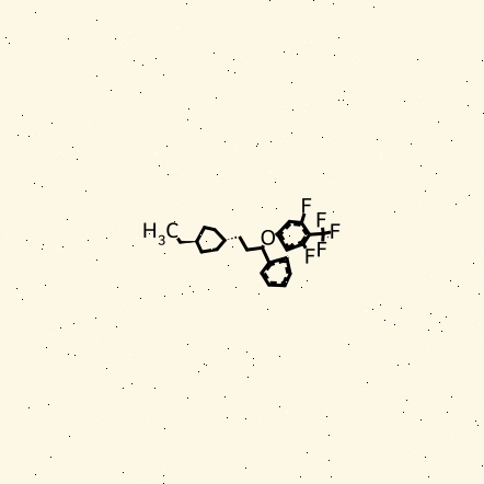 CC[C@H]1CC[C@H](CCC(Oc2cc(F)c(C(F)(F)F)c(F)c2)c2ccccc2)CC1